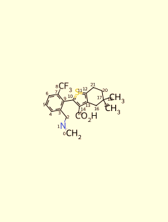 C=NCc1cccc(C(F)(F)F)c1-c1sc2c(c1C(=O)O)CC(C)(C)CC2